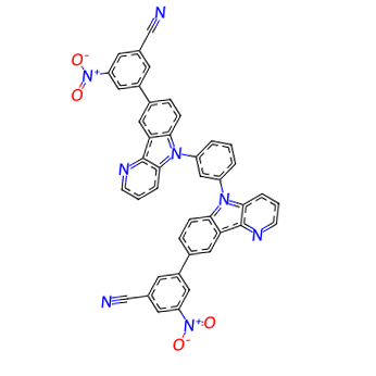 N#Cc1cc(-c2ccc3c(c2)c2ncccc2n3-c2cccc(-n3c4ccc(-c5cc(C#N)cc([N+](=O)[O-])c5)cc4c4ncccc43)c2)cc([N+](=O)[O-])c1